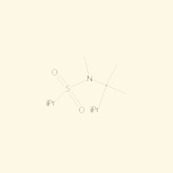 CC(C)C(C)(C)N(C)S(=O)(=O)C(C)C